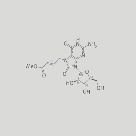 COC(=O)/C=C/Cn1c(=O)n([C@@H]2O[C@@H](CO)[C@H](O)[C@H]2O)c2nc(N)[nH]c(=O)c21